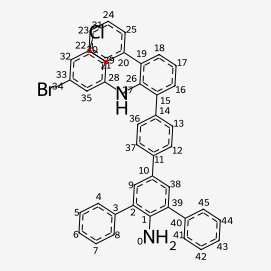 Nc1c(-c2ccccc2)cc(-c2ccc(-c3cccc(-c4ccccc4)c3Nc3cc(Cl)cc(Br)c3)cc2)cc1-c1ccccc1